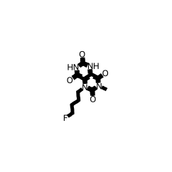 Cn1c(=O)c2[nH]c(=O)[nH]c(=O)c2n(CCCCF)c1=O